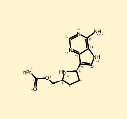 CCCC(=O)OC[C@@H]1CC[C@H](c2c[nH]c3c(N)ncnc23)N1